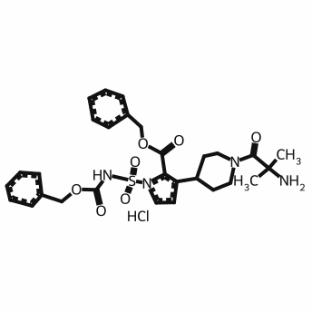 CC(C)(N)C(=O)N1CCC(c2ccn(S(=O)(=O)NC(=O)OCc3ccccc3)c2C(=O)OCc2ccccc2)CC1.Cl